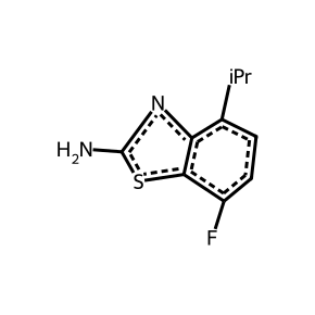 CC(C)c1ccc(F)c2sc(N)nc12